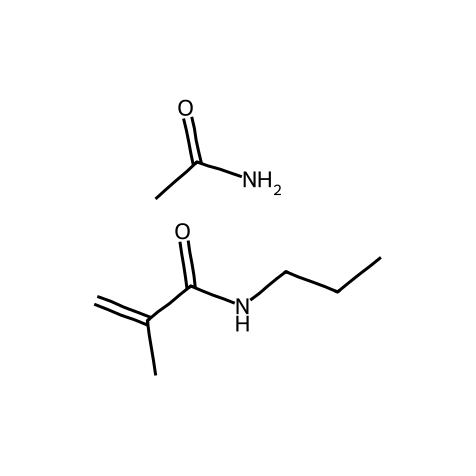 C=C(C)C(=O)NCCC.CC(N)=O